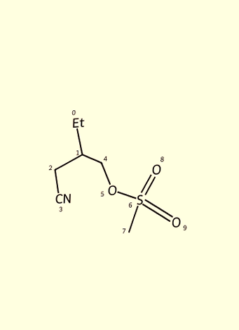 CCC(CC#N)COS(C)(=O)=O